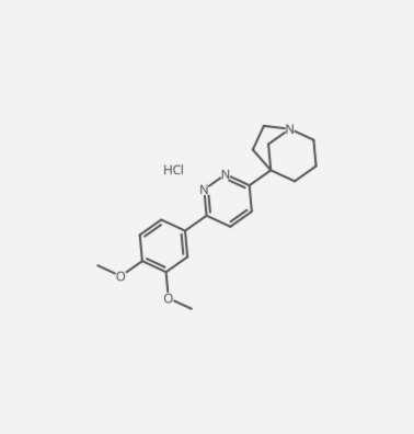 COc1ccc(-c2ccc(C34CCCN(CC3)C4)nn2)cc1OC.Cl